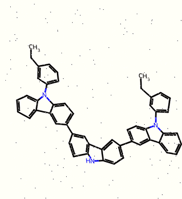 CCc1cccc(-n2c3ccccc3c3cc(-c4ccc5[nH]c6ccc(-c7ccc8c(c7)c7ccccc7n8-c7cccc(CC)c7)cc6c5c4)ccc32)c1